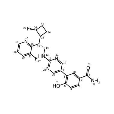 NC(=O)c1ccc(O)c(-c2cnc(NC[C@H](c3ncccc3F)C3CC[C@@H]3F)nc2)c1